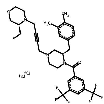 Cc1ccc(C[C@@H]2CN(CC#CCN3CCOC[C@@H]3CF)CCN2C(=O)c2cc(C(F)(F)F)cc(C(F)(F)F)c2)cc1C.Cl.Cl